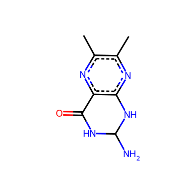 Cc1nc2c(nc1C)C(=O)NC(N)N2